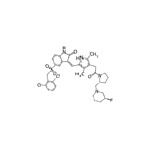 Cc1[nH]c(/C=C2\C(=O)Nc3ccc(S(=O)(=O)Cc4c(Cl)cccc4Cl)cc32)c(C)c1CC(=O)N1CCCC1CN1CCC[C@H](F)C1